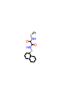 CC(C)SNC(=O)C(=O)NSc1cccc2ccccc12